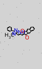 Cn1c(-c2ccccc2)nc2[nH]c(C=C3C(=O)c4cc5ccccc5cc4C3=O)cc21